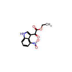 CCOC(=O)C(=O)c1c[nH]c2cccc([N+](=O)[O-])c12